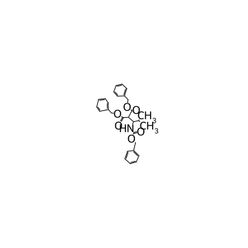 CC(C)C(NC(=O)OCc1ccccc1)C(C(=O)OCc1ccccc1)C(=O)OCc1ccccc1